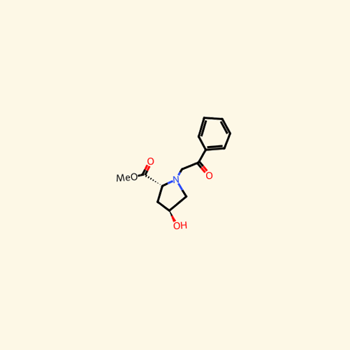 COC(=O)[C@H]1C[C@H](O)CN1CC(=O)c1ccccc1